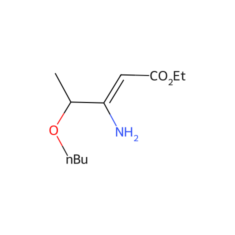 CCCCOC(C)C(N)=CC(=O)OCC